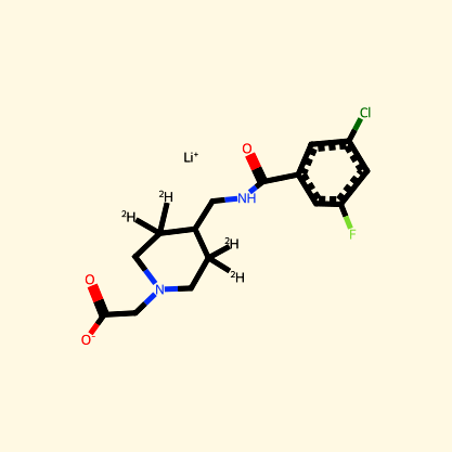 [2H]C1([2H])CN(CC(=O)[O-])CC([2H])([2H])C1CNC(=O)c1cc(F)cc(Cl)c1.[Li+]